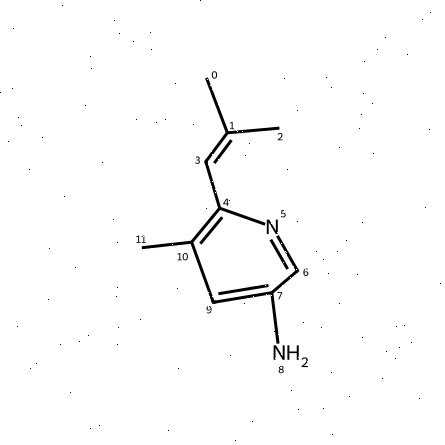 CC(C)=Cc1ncc(N)cc1C